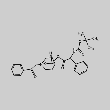 CC(C)(C)OC(=O)NC(C(=O)O[C@H]1C[N+]2(CC(=O)c3ccccc3)CCC1CC2)c1ccccc1